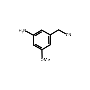 COc1cc(N)cc(CC#N)c1